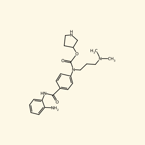 CN(C)CCCN(C(=O)OC1CCNC1)c1ccc(C(=O)Nc2ccccc2N)cc1